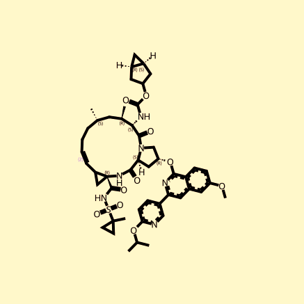 COc1ccc2c(O[C@@H]3C[C@H]4C(=O)N[C@]5(C(=O)NS(=O)(=O)C6(C)CC6)CC5/C=C\CC[C@H](C)C[C@@H](C)[C@H](NC(=O)OC5C[C@@H]6C[C@@H]6C5)C(=O)N4C3)nc(-c3ccc(OC(C)C)nc3)cc2c1